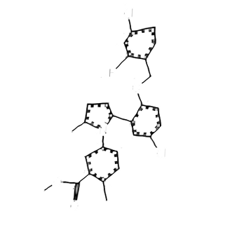 COC(=O)c1cc(-n2c(C)ccc2-c2cc(Cl)ccc2OCc2ccc(Cl)cc2F)ccc1C